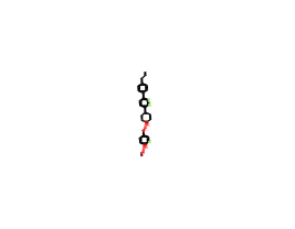 CCCc1ccc(-c2ccc(C3CCC(OCc4ccc(OCC)c(F)c4)CC3)c(F)c2F)cc1